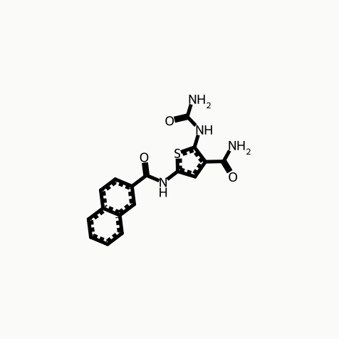 NC(=O)Nc1sc(NC(=O)c2ccc3ccccc3c2)cc1C(N)=O